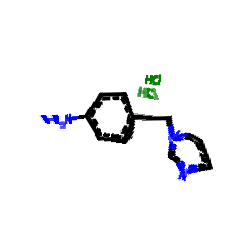 Cl.Cl.Nc1ccc(Cn2ccnc2)cc1